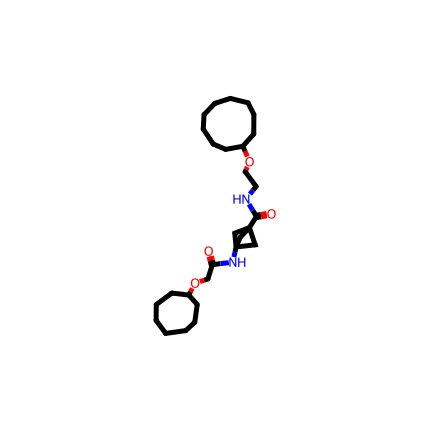 O=C(COC1CCCCCCC1)NC12CC(C(=O)NCCOC3CCCCCCCCC3)(C1)C2